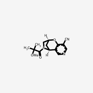 COC(C)(C)C(=O)N1C[C@@H]2C[C@H]1c1cncc(C#N)c1O2